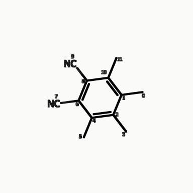 Cc1c(C)c(C)c(C#N)c(C#N)c1C